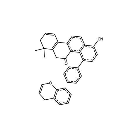 C1=COc2ccccc2C1.CC1(C)CC=CC2=C1CC(=O)c1c2ccc2c(C#N)ccc(-c3ccccc3)c12